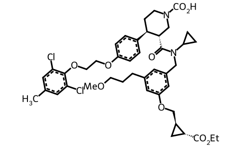 CCOC(=O)[C@@H]1C[C@H]1COc1cc(CCCOC)cc(CN(C(=O)[C@H]2CN(C(=O)O)CC[C@@H]2c2ccc(OCCOc3c(Cl)cc(C)cc3Cl)cc2)C2CC2)c1